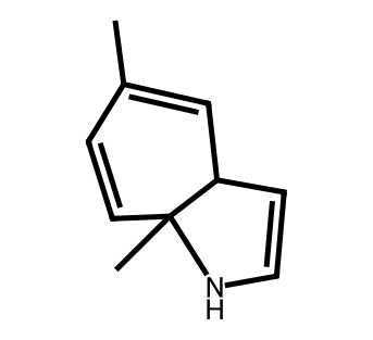 CC1=CC2C=CNC2(C)C=C1